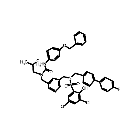 CC(C)CN(Cc1cccc(CN(Cc2ccc(-c3ccc(F)cc3)cc2)S(=O)(=O)c2cc(Cl)cc(Cl)c2O)c1)C(=O)Nc1ccc(OCc2ccccc2)cc1